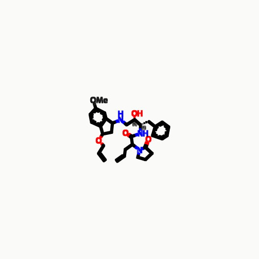 C=CCOC1CC(NC[C@H](O)[C@H](Cc2ccccc2)NC(=O)C(CC=C)N2CCCC2=O)c2cc(OC)ccc21